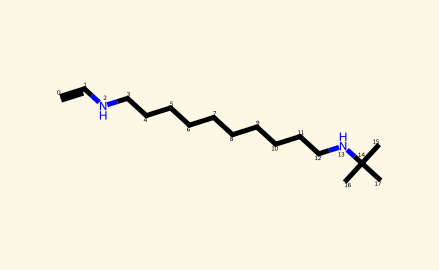 C=CNCCCCCCCCCCNC(C)(C)C